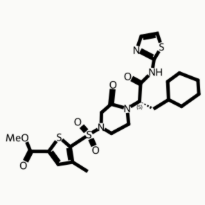 COC(=O)c1cc(C)c(S(=O)(=O)N2CCN([C@@H](CC3CCCCC3)C(=O)Nc3nccs3)C(=O)C2)s1